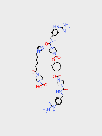 N=C(N)Nc1ccc(CNC(=O)N2CCN(C(=O)O[C@H]3CCC[C@@H](OC(=O)N4CCN(C(=O)NCc5ccc(NC(=N)N)cc5)CC4)CCC3)CC2)cc1.O=C(O)N1CCN(C(=O)CCCCCCn2ccnc2)CC1